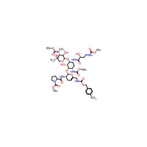 CN(C(=O)OC(C)(C)C)[C@@H]1[C@@H](O)[C@@H](O[C@@H]2[C@@H](O)[C@H](O[C@H]3OC(CNC(=O)OCc4ccc([N+](=O)[O-])cc4)=CC[C@H]3NC(=O)C3CCCN3C(=O)OC(C)(C)C)[C@@H](NC(=O)OC(C)(C)C)C[C@H]2NC(=O)[C@@H](O)CCNC(=O)OC(C)(C)C)OC[C@]1(C)O